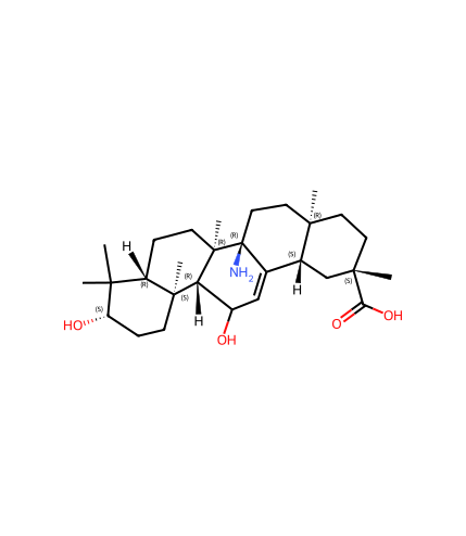 CC1(C)[C@@H](O)CC[C@]2(C)[C@H]3C(O)C=C4[C@H]5C[C@@](C)(C(=O)O)CC[C@]5(C)CC[C@@]4(N)[C@]3(C)CC[C@@H]12